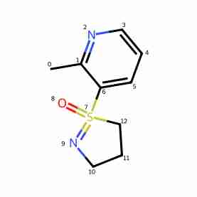 Cc1ncccc1S1(=O)=NCCC1